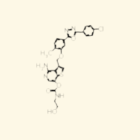 Cc1ccc(-c2nnc(-c3ccc(Cl)cc3)o2)cc1OCc1csc2c(OC(=O)NCCO)cnc(N)c12